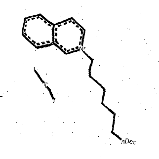 CCCCCCCCCCCCCCCC[n+]1ccc2ccccc2c1.I[I-]I